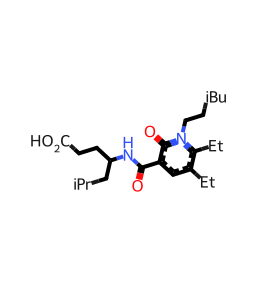 CCc1cc(C(=O)NC(CCC(=O)O)CC(C)C)c(=O)n(CCC(C)CC)c1CC